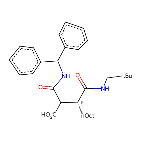 CCCCCCCC[C@@H](C(=O)NCC(C)(C)C)C(C(=O)O)C(=O)NC(c1ccccc1)c1ccccc1